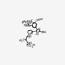 COc1cc(-c2nc(C(C)(C)C)[nH]c2-c2ccnc(NCC(C)NC(=O)O)n2)cc(NS(=O)(=O)C(C)C)c1C